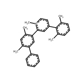 Cc1cc(C)c(-c2cc(-c3c(C)cccc3C)cc[n+]2C)cc1-c1ccccc1